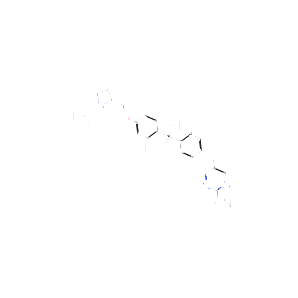 CC(C)(c1ccc(OC[C@@H]2CCN2C(=O)O)cc1)c1ccc(Oc2cnc(C#N)nc2)cc1